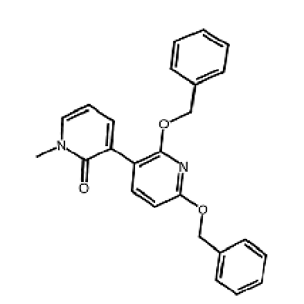 Cn1cccc(-c2ccc(OCc3ccccc3)nc2OCc2ccccc2)c1=O